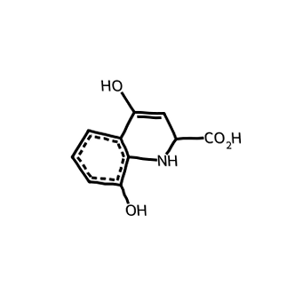 O=C(O)C1C=C(O)c2cccc(O)c2N1